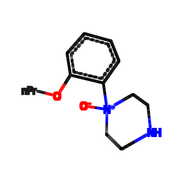 CCCOc1ccccc1[N+]1([O-])CCNCC1